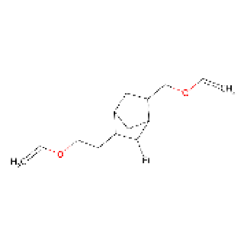 C=COCCC1C2CC(COC=C)C(C2)C1CC